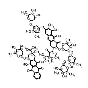 CC(=O)[C@]1(O)Cc2c(O)c3c(c(O)c2[C@@H](O[C@H]2C[C@H](N)[C@H](O)[C@H](C)O2)C1)C(=O)c1ccccc1C3=O.CO[C@H](C(=O)[C@@H](O)[C@@H](C)O)C1Cc2cc3cc(O[C@H]4C[C@@H](O[C@H]5C[C@@H](O)[C@H](O)[C@@H](C)O5)[C@@H](O)[C@@H](C)O4)c(C)c(O)c3c(O)c2C(=O)[C@H]1O[C@H]1C[C@@H](O[C@H]2C[C@@H](O[C@H]3C[C@](C)(O)[C@H](O)[C@@H](C)O3)[C@H](O)[C@@H](C)O2)[C@H](O)[C@@H](C)O1